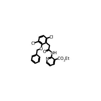 CCOC(=O)c1cccnc1NC(=O)Cc1c(Cl)ccc(Cl)c1OCc1ccccc1